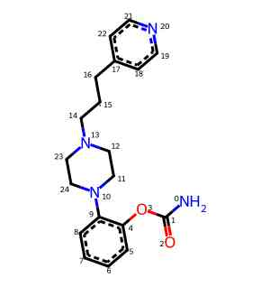 NC(=O)Oc1ccccc1N1CCN(C[CH]Cc2ccncc2)CC1